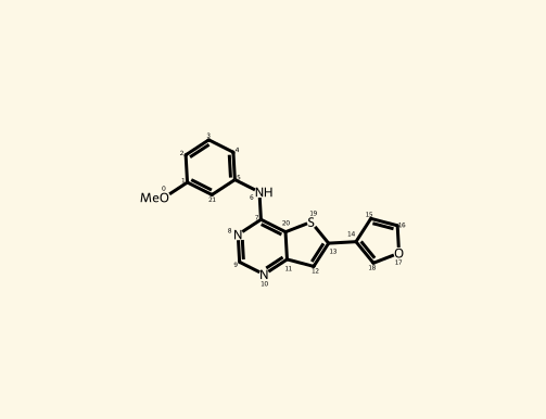 COc1cccc(Nc2ncnc3cc(-c4ccoc4)sc23)c1